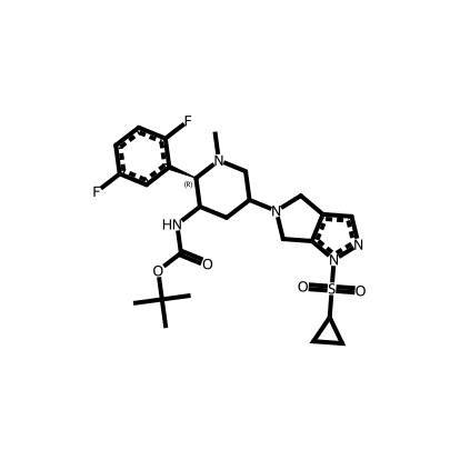 CN1CC(N2Cc3cnn(S(=O)(=O)C4CC4)c3C2)CC(NC(=O)OC(C)(C)C)[C@H]1c1cc(F)ccc1F